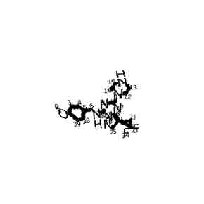 COc1ccc(CNc2nc(N3CCNCC3)nc3c(C4CC4(F)F)cnn23)cc1